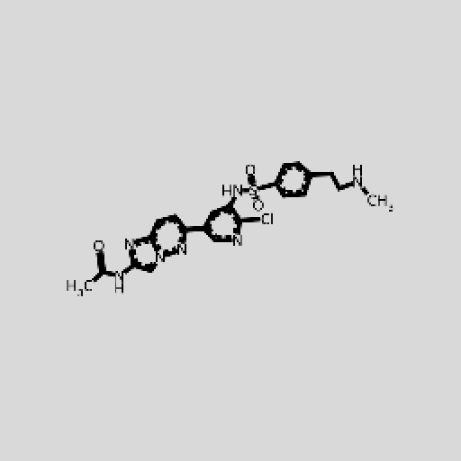 CNCCc1ccc(S(=O)(=O)Nc2cc(-c3ccc4nc(NC(C)=O)cn4n3)cnc2Cl)cc1